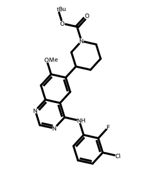 COc1cc2ncnc(Nc3cccc(Cl)c3F)c2cc1C1CCCN(C(=O)OC(C)(C)C)C1